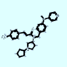 CN(c1ccncc1)c1ccc(CN(C(=O)/C=C/c2ccc(C(F)(F)F)cc2)[C@H]2CCN(C3CCCC3)C2)cc1